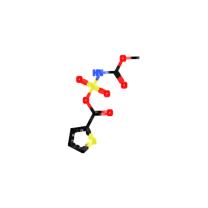 COC(=O)NS(=O)(=O)OC(=O)c1cccs1